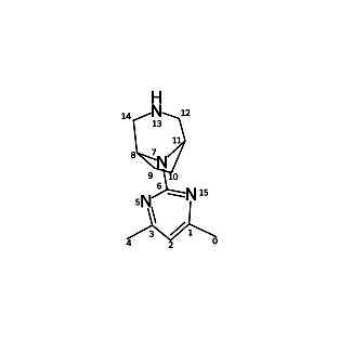 Cc1cc(C)nc(N2C3CCC2CNC3)n1